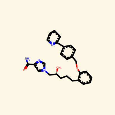 NC(=O)c1cn(C[C@@H](O)CCCc2ccccc2OCc2ccc(-c3ccccn3)cc2)cn1